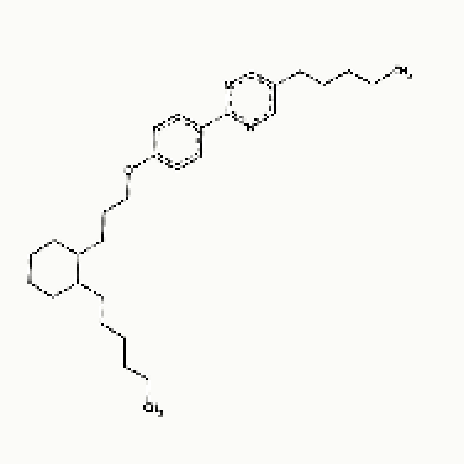 CCCCCCC1CCCCC1CCCOc1ccc(-c2ncc(CCCCC)cn2)cc1